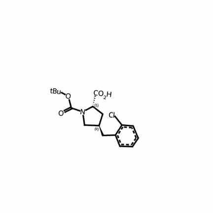 CC(C)(C)OC(=O)N1C[C@H](Cc2ccccc2Cl)C[C@H]1C(=O)O